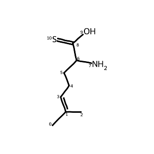 CC(C)=CCCC(N)C(O)=S